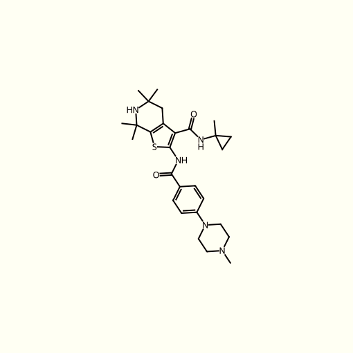 CN1CCN(c2ccc(C(=O)Nc3sc4c(c3C(=O)NC3(C)CC3)CC(C)(C)NC4(C)C)cc2)CC1